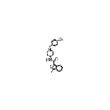 COc1ccc(CN2CCC(NC(=O)c3oc(C)c4ccccc34)CC2)cc1